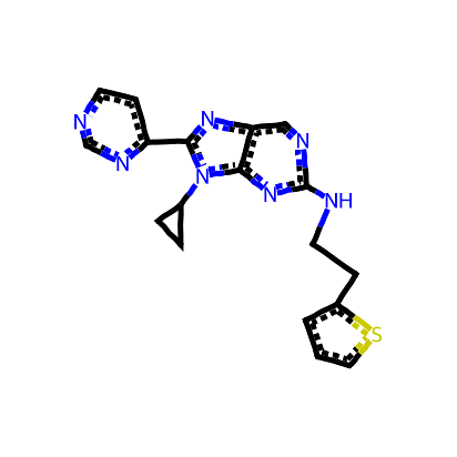 c1csc(CCNc2ncc3nc(-c4ccncn4)n(C4CC4)c3n2)c1